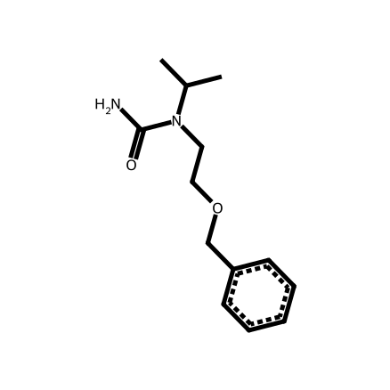 CC(C)N(CCOCc1ccccc1)C(N)=O